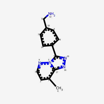 Cc1ccnn2c(-c3ccc(CN)cc3)nnc12